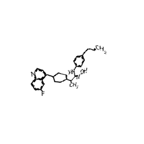 C=CCc1ccc(N/C(=N\O)C(C)C2CCC(c3ccnc4ccc(F)cc34)CC2)cc1